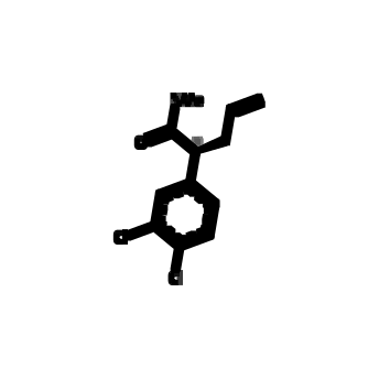 C=CC[C@H](C(=O)NC)c1ccc(Cl)c(Cl)c1